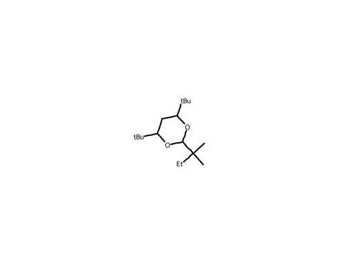 CCC(C)(C)C1OC(C(C)(C)C)CC(C(C)(C)C)O1